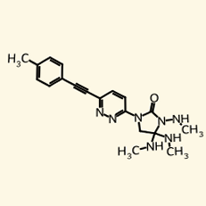 CNN1C(=O)N(c2ccc(C#Cc3ccc(C)cc3)nn2)CC1(NC)NC